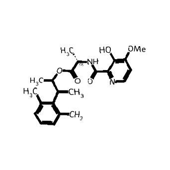 COc1ccnc(C(=O)N[C@@H](C)C(=O)OC(C)C(C)c2c(C)cccc2C)c1O